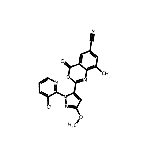 COc1cc(-c2nc3c(C)cc(C#N)cc3c(=O)o2)n(-c2ncccc2Cl)n1